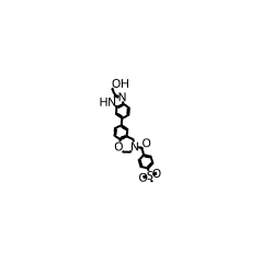 CS(=O)(=O)c1ccc(C(=O)N2CCOc3ccc(-c4ccc5nc(CO)[nH]c5c4)cc3C2)cc1